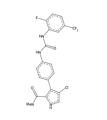 CNC(=O)c1[nH]cc(Cl)c1-c1ccc(NC(=O)Nc2cc(C(F)(F)F)ccc2F)cc1